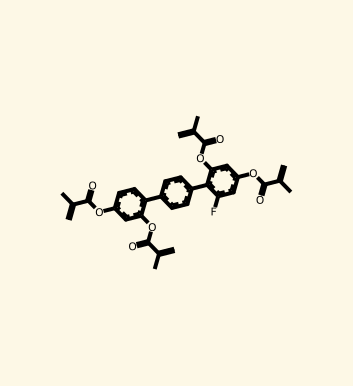 C=C(C)C(=O)Oc1ccc(-c2ccc(-c3c(F)cc(OC(=O)C(=C)C)cc3OC(=O)C(=C)C)cc2)c(OC(=O)C(=C)C)c1